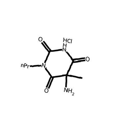 CCCN1C(=O)NC(=O)C(C)(N)C1=O.Cl